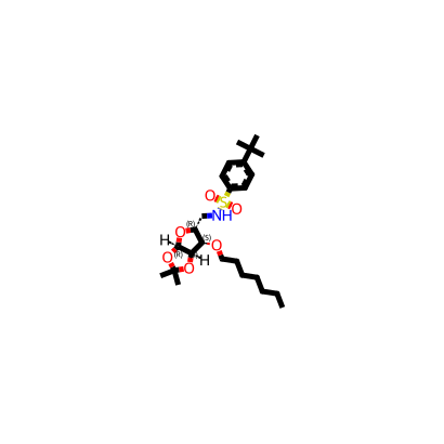 CCCCCCCO[C@@H]1[C@H]2OC(C)(C)O[C@H]2O[C@@H]1CNS(=O)(=O)c1ccc(C(C)(C)C)cc1